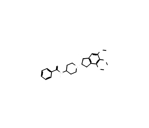 COc1cc2c(c(OC)c1OC)C[C@H](N1CCC(NC(=O)c3ccccc3)CC1)[C@@H]2O